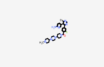 CCc1ncnc(-c2ccc(C(=O)N3CCC(N4CCN(C5CCN(C)CC5)CC4)CC3)c(F)c2)c1-c1ccc(N)nc1